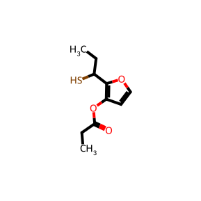 CCC(=O)Oc1ccoc1C(S)CC